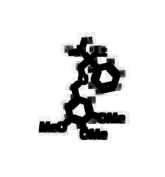 CC[C@](COCc1cc(OC)c(OC)c(OC)c1)(c1cc#ccc1)N(C)C